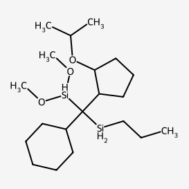 CCC[SiH2]C(C1CCCCC1)(C1CCCC1OC(C)C)[SiH](OC)OC